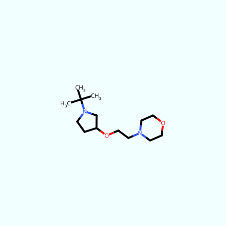 CC(C)(C)N1CCC(OCCN2CCOCC2)C1